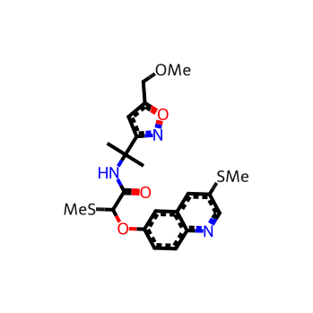 COCc1cc(C(C)(C)NC(=O)C(Oc2ccc3ncc(SC)cc3c2)SC)no1